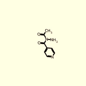 CC(=O)N(N)C(=O)c1ccncc1